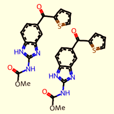 COC(=O)Nc1nc2cc(C(=O)c3cccs3)ccc2[nH]1.COC(=O)Nc1nc2cc(C(=O)c3cccs3)ccc2[nH]1